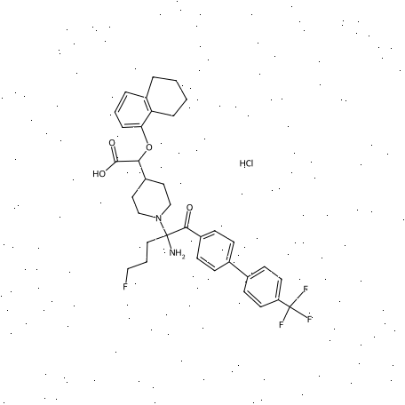 Cl.NC(CCCF)(C(=O)c1ccc(-c2ccc(C(F)(F)F)cc2)cc1)N1CCC(C(Oc2cccc3c2CCCC3)C(=O)O)CC1